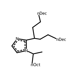 CCCCCCCCCCCCC(CCCCCCCCCCCC)c1nccn1C(C)CCCCCCCC